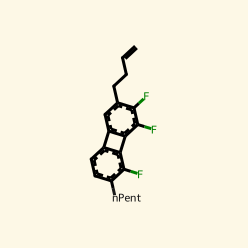 C=CCCc1cc2c(c(F)c1F)-c1c-2ccc(CCCCC)c1F